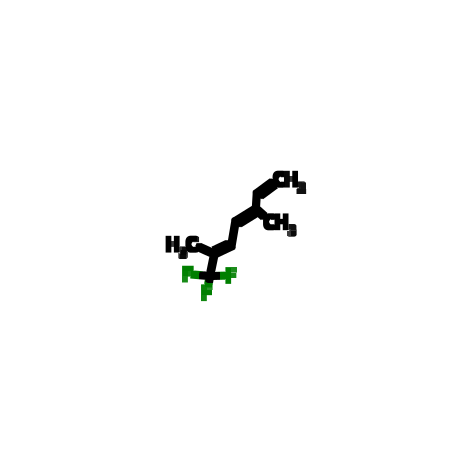 C=C/C(C)=C/C=C(\C)C(F)(F)F